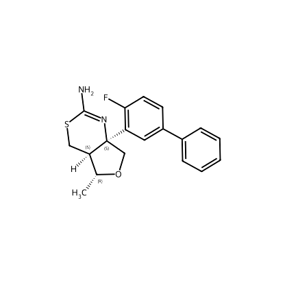 C[C@H]1OC[C@]2(c3cc(-c4ccccc4)ccc3F)N=C(N)SC[C@H]12